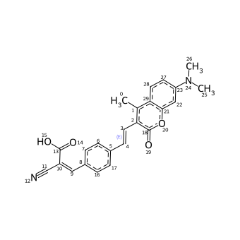 Cc1c(/C=C/c2ccc(C=C(C#N)C(=O)O)cc2)c(=O)oc2cc(N(C)C)ccc12